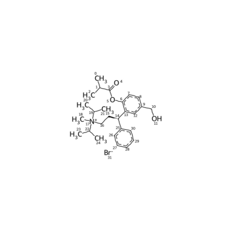 CC(C)C(=O)Oc1ccc(CO)cc1[C@H](CC[N+](C)(C(C)C)C(C)C)c1ccccc1.[Br-]